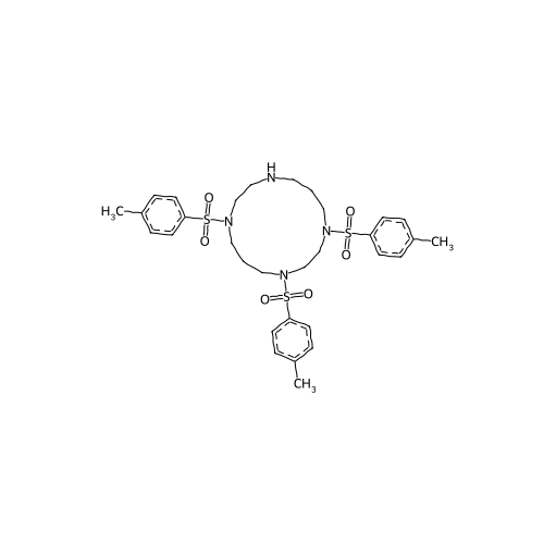 Cc1ccc(S(=O)(=O)N2CCCN(S(=O)(=O)c3ccc(C)cc3)CCN(S(=O)(=O)c3ccc(C)cc3)CCCNCC2)cc1